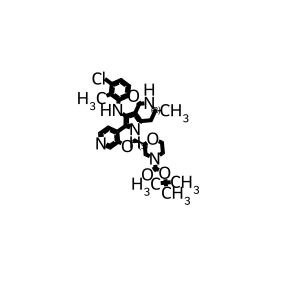 Cc1c(Cl)cccc1Nc1c(-c2ccncc2OC[C@@H]2CN(C(=O)OC(C)(C)C)CCO2)[nH]c2c1C(=O)N[C@H](C)C2